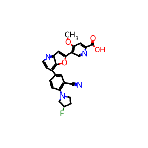 COc1cc(C(=O)O)ncc1-c1cc2nccc(-c3ccc(N4CC[C@@H](F)C4)c(C#N)c3)c2o1